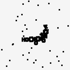 Cn1c(C(=O)N2CCN(C3CCC(O)CC3)C(=O)C2)nc2ccc(C3CC3)cc21